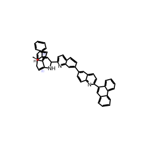 C[C@@H]1C/C=C(\c2ccccc2)NC(c2ccc3ccc(-c4ccc5nc(-c6cc7ccccc7c7ccccc67)ccc5c4)cc3n2)/C=C\1c1ccccc1